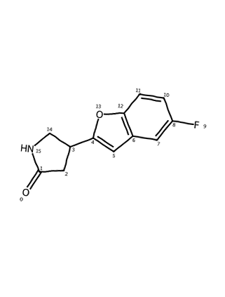 O=C1CC(c2cc3cc(F)ccc3o2)CN1